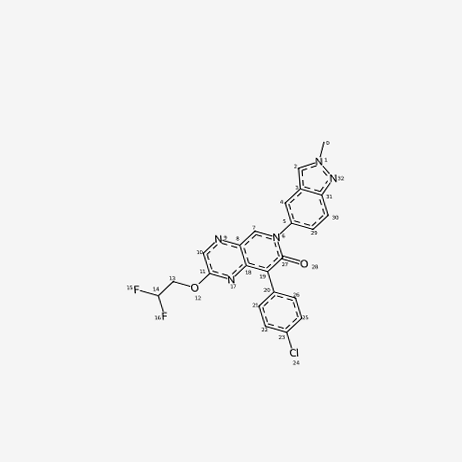 Cn1cc2cc(-n3cc4ncc(OCC(F)F)nc4c(-c4ccc(Cl)cc4)c3=O)ccc2n1